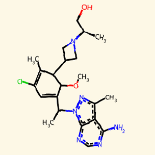 COC1C(C(C)n2nc(C)c3c(N)ncnc32)=CC(Cl)=C(C)C1C1CN([C@H](C)CO)C1